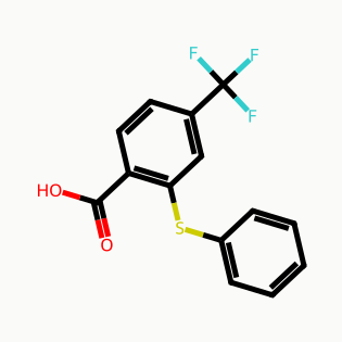 O=C(O)c1ccc(C(F)(F)F)cc1Sc1ccccc1